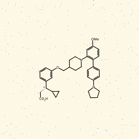 COc1ccc(-c2ccc(N3CCCC3)cc2)c(N2CCC(COc3cccc([C@@H](CC(=O)O)C4CC4)c3)CC2)c1